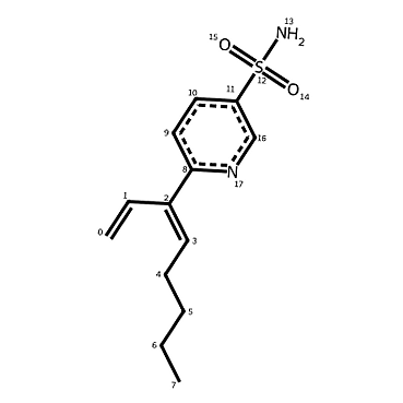 C=CC(=CCCCC)c1ccc(S(N)(=O)=O)cn1